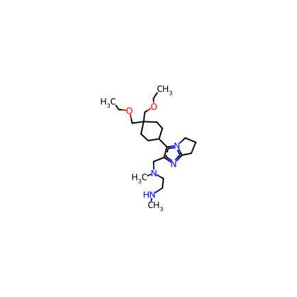 CCOCC1(COCC)CCC(c2c(CN(C)CCNC)nc3n2CCC3)CC1